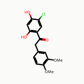 COc1ccc(CC(=O)c2cc(Cl)c(O)cc2O)cc1OC